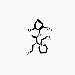 CCC[C@@H](C(=O)Nc1c(C)cccc1C)[N+]1(CC)CCCCC1